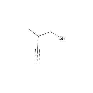 C#CC(C)CS